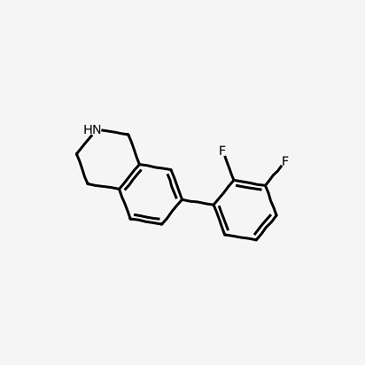 Fc1cccc(-c2ccc3c(c2)CNCC3)c1F